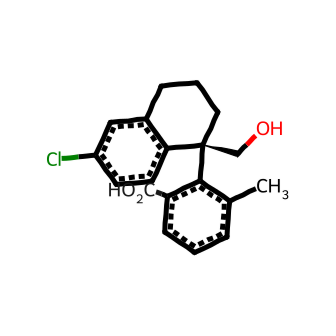 Cc1cccc(C(=O)O)c1[C@@]1(CO)CCCc2cc(Cl)ccc21